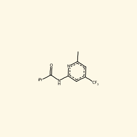 Cc1cc(C(F)(F)F)cc(NC(=O)C(C)C)n1